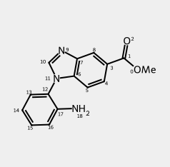 COC(=O)c1ccc2c(c1)ncn2-c1ccccc1N